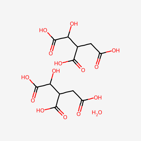 O.O=C(O)CC(C(=O)O)C(O)C(=O)O.O=C(O)CC(C(=O)O)C(O)C(=O)O